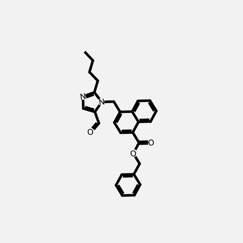 CCCCc1ncc(C=O)n1Cc1ccc(C(=O)OCc2ccccc2)c2ccccc12